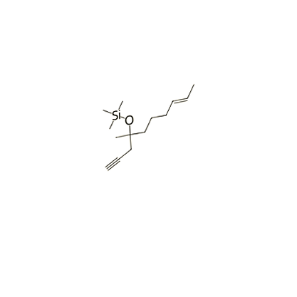 C#CCC(C)(CCCC=CC)O[Si](C)(C)C